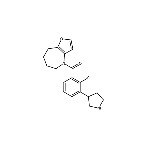 O=C(c1cccc(C2CCNC2)c1Cl)N1CCCCc2occc21